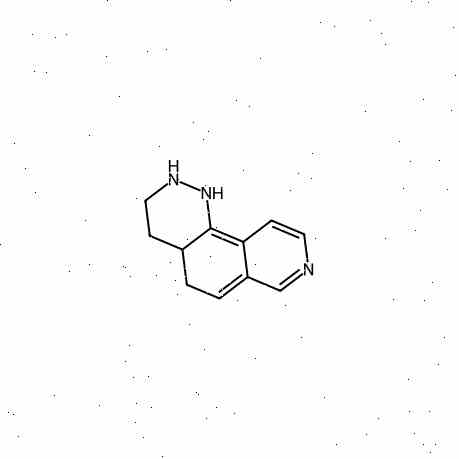 C1=c2cnccc2=C2NNCCC2C1